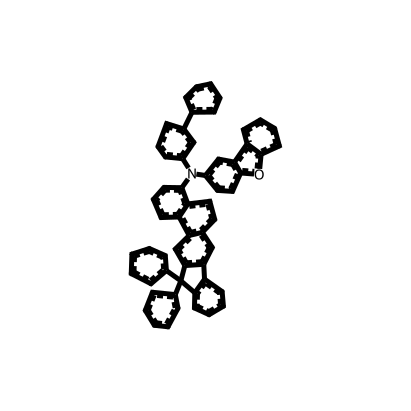 c1ccc(-c2cccc(N(c3ccc4oc5ccccc5c4c3)c3cccc4c3ccc3cc5c(cc34)C(c3ccccc3)(c3ccccc3)c3ccccc3-5)c2)cc1